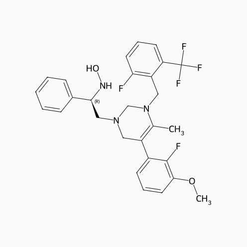 COc1cccc(C2=C(C)N(Cc3c(F)cccc3C(F)(F)F)CN(C[C@H](NO)c3ccccc3)C2)c1F